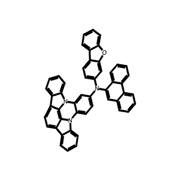 c1ccc2c(c1)cc(N(c1ccc3c(c1)oc1ccccc13)c1ccc3c(c1)n1c4ccccc4c4ccc5c6ccccc6n3c5c41)c1ccccc12